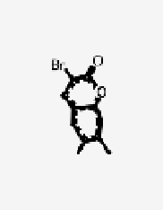 Cc1cc2cc(Br)c(=O)oc2cc1C